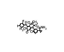 Cc1c(=O)n(C)c(Nc2ccc(I)cc2F)c2c(=O)n(C)c(=O)n(-c3cccc(C4(C(N)=O)CC4)c3)c12